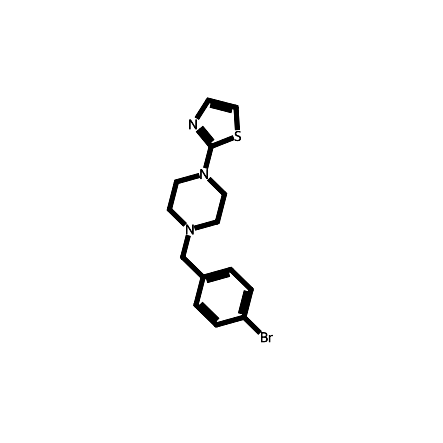 Brc1ccc(CN2CCN(c3nccs3)CC2)cc1